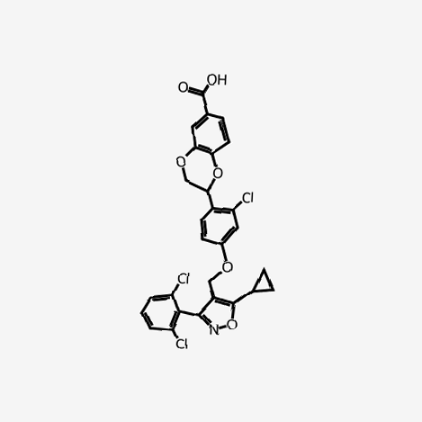 O=C(O)c1ccc2c(c1)OCC(c1ccc(OCc3c(-c4c(Cl)cccc4Cl)noc3C3CC3)cc1Cl)O2